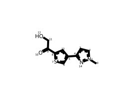 Cn1ccc(-c2csc(C(=O)CO)c2)n1